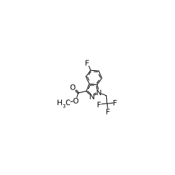 COC(=O)c1nn(CC(F)(F)F)c2ccc(F)cc12